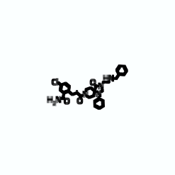 NC(=O)c1cc(Cl)ccc1C[CH]C(=O)N1CCC2(CC1)C(=O)N(CCNCc1ccccc1)CN2c1ccccc1